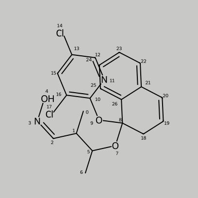 CC(/C=N\O)C(C)OC1(Oc2ncc(Cl)cc2Cl)CC=Cc2ccccc21